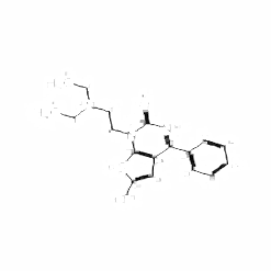 CCN(CC)CCn1c(=O)nc(-c2ccccc2)c2cc(Cl)sc21